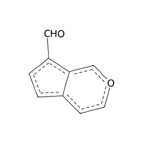 O=Cc1ccc2ccocc1-2